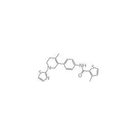 CC1=C(c2ccc(NC(=O)c3sccc3C)cc2)CN(c2nccs2)CC1